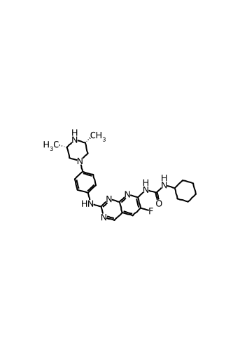 C[C@@H]1CN(c2ccc(Nc3ncc4cc(F)c(NC(=O)NC5CCCCC5)nc4n3)cc2)C[C@H](C)N1